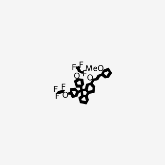 COc1ccccc1C=CC(=O)c1ccc2c(c1)C(c1ccc(OC(F)=C(F)F)cc1)(c1ccc(OC(F)=C(F)F)cc1)c1ccccc1-2